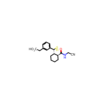 N#CCNC(=O)[C@H]1CCCC[C@@H]1C(S)c1cccc(CC(=O)O)c1